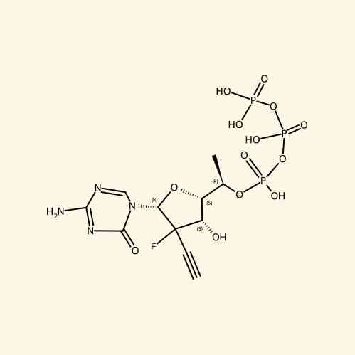 C#CC1(F)[C@@H](O)[C@@H]([C@@H](C)OP(=O)(O)OP(=O)(O)OP(=O)(O)O)O[C@H]1n1cnc(N)nc1=O